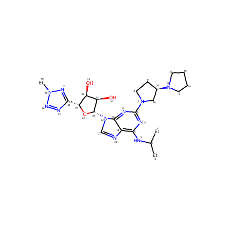 CCC(CC)Nc1nc(N2CC[C@@H](N3CCCC3)C2)nc2c1ncn2[C@@H]1O[C@H](c2nnn(CC)n2)[C@@H](O)[C@H]1O